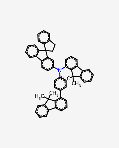 CC1(C)c2ccccc2-c2cccc(-c3ccc(N(c4ccc5c(c4)C4(CCc6ccccc64)c4ccccc4-5)c4cccc5c4C(C)(C)c4ccccc4-5)cc3)c21